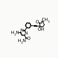 CN1CC[C@@](O)(C#Cc2cccc(-c3nc(N)cc(C(N)=O)n3)c2)C1=O